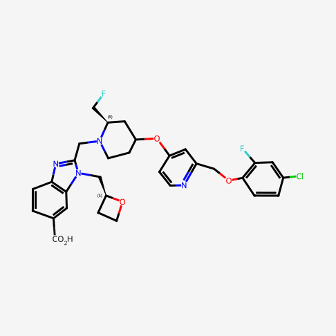 O=C(O)c1ccc2nc(CN3CCC(Oc4ccnc(COc5ccc(Cl)cc5F)c4)C[C@@H]3CF)n(C[C@@H]3CCO3)c2c1